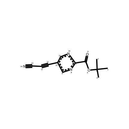 CC(C)(C)OC(=O)c1ncc(C#CC#N)cn1